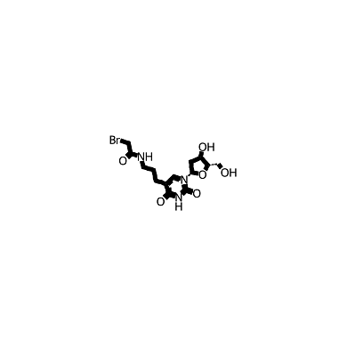 O=C(CBr)NCCCc1cn([C@@H]2CC(O)[C@H](CO)O2)c(=O)[nH]c1=O